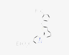 CCOC(=O)c1ccc(-c2cccc3cc(Cc4cccc(C(F)(F)F)c4)sc23)nc1